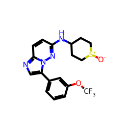 [O-][S+]1CCC(Nc2ccc3ncc(-c4cccc(OC(F)(F)F)c4)n3n2)CC1